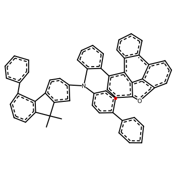 CC1(C)c2cc(N(c3ccc(-c4ccccc4)cc3)c3ccccc3-c3ccc4oc5cccc6c7ccccc7c3c4c56)ccc2-c2c(-c3ccccc3)cccc21